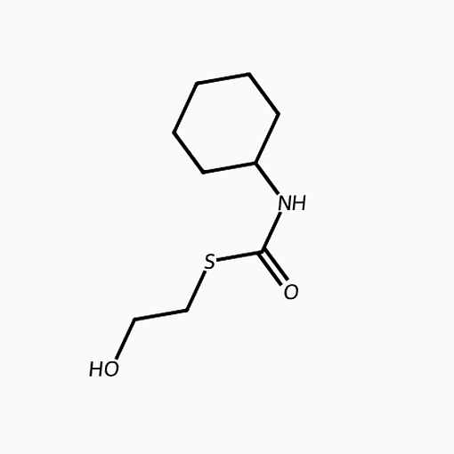 O=C(NC1CCCCC1)SCCO